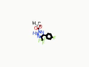 COC(=O)N1N=C(c2ccc(F)cc2)C(C(F)(F)F)=NN1